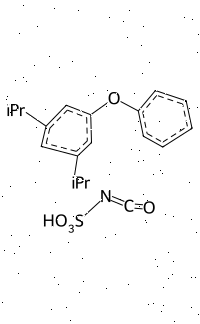 CC(C)c1cc(Oc2ccccc2)cc(C(C)C)c1.O=C=NS(=O)(=O)O